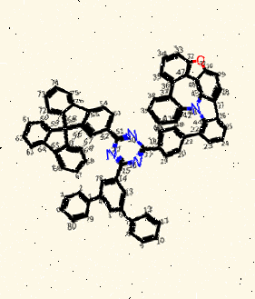 c1ccc(-c2cc(-c3ccccc3)cc(-c3nc(-c4ccc(-c5cccc6c7ccc8oc9cccc%10c%11ccccc%11n(c56)c7c8c9%10)cc4)nc(-c4ccc5c(c4)C4(c6ccccc6-c6ccccc64)c4ccccc4-5)n3)c2)cc1